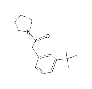 CC(C)(C)c1cccc(CC(=O)N2CCCC2)c1